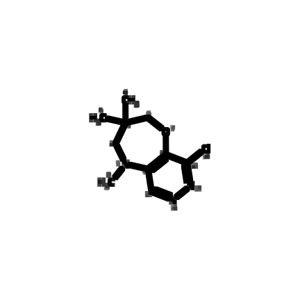 CN1CC(C)(C)COc2c1cnnc2Cl